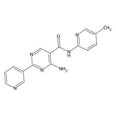 Cc1ccc(NC(=O)c2cnc(-c3cccnc3)nc2N)nc1